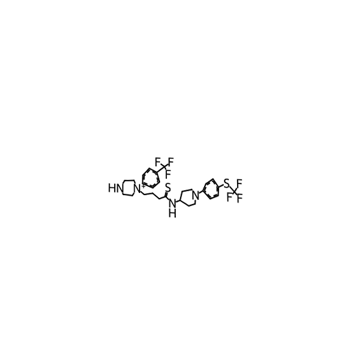 FC(F)(F)Sc1ccc(N2CCC(NC(=S)CCC[N+]3(c4ccc(C(F)(F)F)cc4)CCNCC3)CC2)cc1